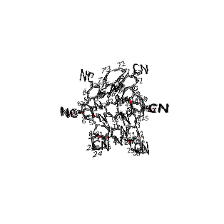 N#Cc1ccc2c(c1)c1cc(C#N)ccc1n2-c1c(-c2cc(-c3ccccc3)nc(-c3ccccc3)n2)c(-n2c3ccc(C#N)cc3c3cc(C#N)ccc32)c(-n2c3ccc(C#N)cc3c3cc(C#N)ccc32)c(-c2nc3ccccc3s2)c1-n1c2ccc(C#N)cc2c2cc(C#N)ccc21